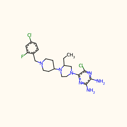 CCC1CN(c2nc(N)c(N)nc2Cl)CCN1C1CCN(Cc2ccc(Cl)cc2F)CC1